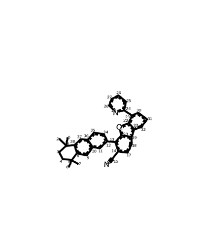 CC1(C)CCC(C)(C)c2cc3cc(-c4c(C#N)ccc5c4oc4c(-c6ccccn6)cccc45)ccc3cc21